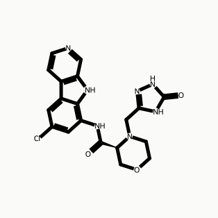 O=C(Nc1cc(Cl)cc2c1[nH]c1cnccc12)[C@@H]1COCCN1Cc1n[nH]c(=O)[nH]1